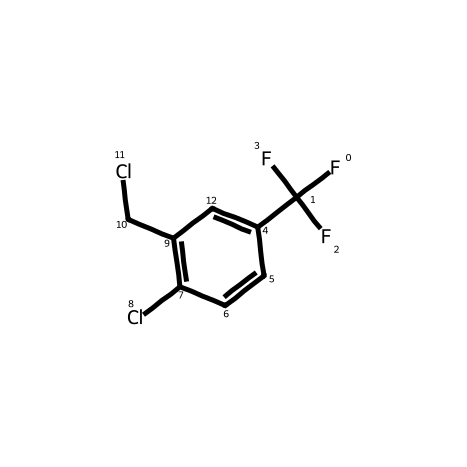 FC(F)(F)c1ccc(Cl)c(CCl)c1